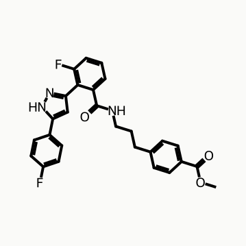 COC(=O)c1ccc(CCCNC(=O)c2cccc(F)c2-c2cc(-c3ccc(F)cc3)[nH]n2)cc1